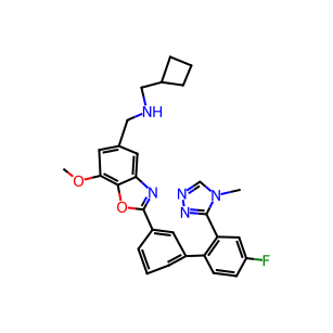 COc1cc(CNCC2CCC2)cc2nc(-c3cccc(-c4ccc(F)cc4-c4nncn4C)c3)oc12